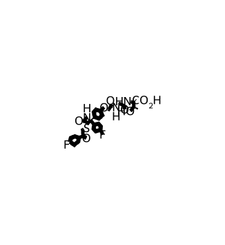 C[C@@H](O)[C@H](NC(=O)CNC(=O)COc1ccc([C@]2(c3ccc(F)cc3)NC(=O)[C@@H]2SCC(=O)c2ccc(F)cc2)cc1)C(=O)O